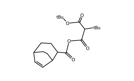 CC(C)(C)OC(=O)C(C(=O)OC(=O)C1CCC2C=CC1CC2)C(C)(C)C